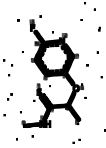 CNC(=S)C(C)Oc1ccc(F)nc1